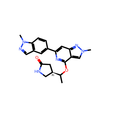 CC(Oc1nc(-c2ccc3c(cnn3C)c2)cc2nn(C)cc12)[C@H]1CNC(=O)C1